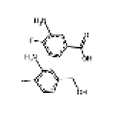 Nc1cc(C(=O)O)ccc1F.Nc1cc(CO)ccc1F